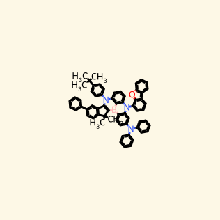 CC(C)(C)c1ccc(N2C3=C(B4c5ccc(N(c6ccccc6)c6ccccc6)cc5N(c5cccc6c5oc5ccccc56)c5cccc2c54)C(C)(C)c2ccc(-c4ccccc4)cc23)cc1